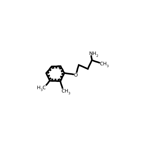 Cc1cccc(OCCC(C)N)c1C